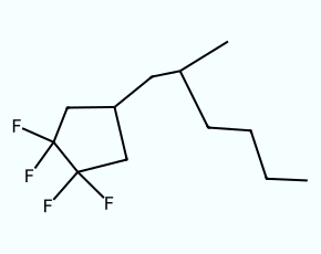 CCCCC(C)CC1CC(F)(F)C(F)(F)C1